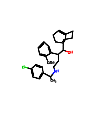 COc1ccccc1C(CCNC(C)c1ccc(Cl)cc1)C(O)C1=C2CCC2=CCC1